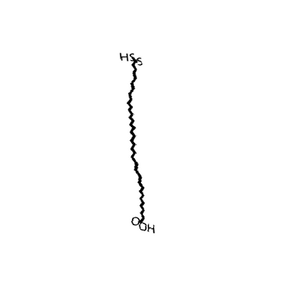 O=C(O)CCCCCCCCCCCCCCCCCCCCCCCCCCCCCCCCCCCCC(=S)S